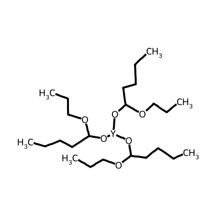 CCCCC(OCCC)[O][Y]([O]C(CCCC)OCCC)[O]C(CCCC)OCCC